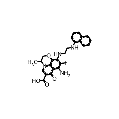 CC1COc2c(NCCNc3cccc4ccccc34)c(F)c(N)c3c(=O)c(C(=O)O)cn1c23